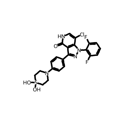 O=c1[nH]cc(Cl)c2c1c(-c1ccc(N3CCS(O)(O)CC3)cc1)nn2-c1c(F)cccc1F